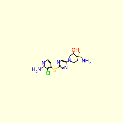 C[C@]1(CN)CCN(c2cnc(Sc3ccnc(N)c3Cl)cn2)C[C@@H]1O